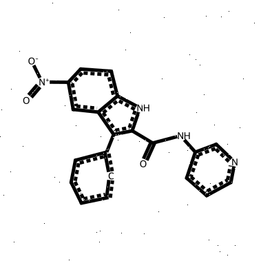 O=C(Nc1cccnc1)c1[nH]c2ccc([N+](=O)[O-])cc2c1-c1ccccc1